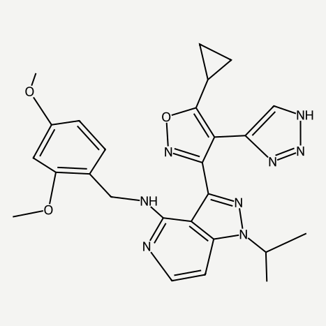 COc1ccc(CNc2nccc3c2c(-c2noc(C4CC4)c2-c2c[nH]nn2)nn3C(C)C)c(OC)c1